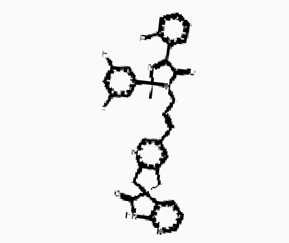 C[C@@]1(c2cc(F)cc(F)c2)N=C(c2ccccc2F)C(=O)N1C/C=C/c1cnc2c(c1)C[C@@]1(C2)C(=O)Nc2ncccc21